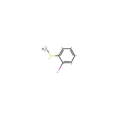 CSc1ccccc1I